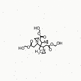 CCC(C(CC(=O)OCO)N1CC1)(C(CC(=O)OCO)N1CC1)C(CC(=O)OCO)N1CC1